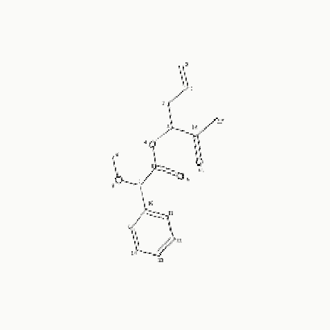 C=CCC(OC(=O)C(OC)c1ccccc1)C(C)=O